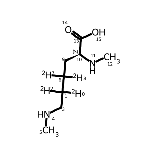 [2H]C([2H])(CNC)C([2H])([2H])C[C@H](NC)C(=O)O